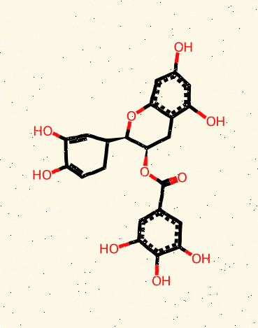 O=C(O[C@@H]1Cc2c(O)cc(O)cc2O[C@@H]1C1C=C(O)C(O)=CC1)c1cc(O)c(O)c(O)c1